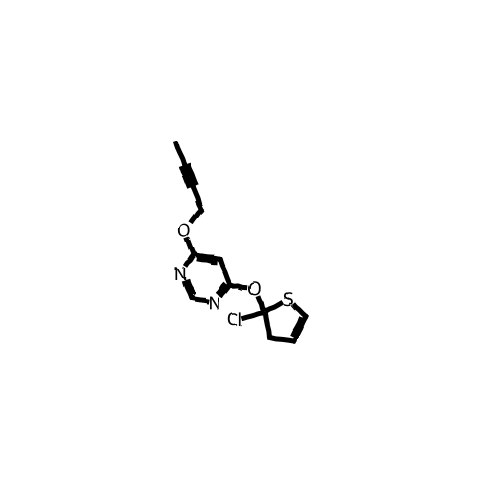 CC#CCOc1cc(OC2(Cl)CC=CS2)ncn1